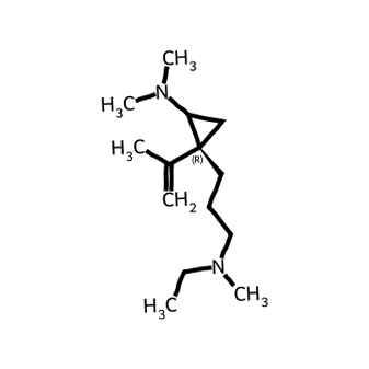 C=C(C)[C@@]1(CCCN(C)CC)CC1N(C)C